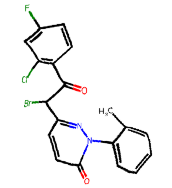 Cc1ccccc1-n1nc(C(Br)C(=O)c2ccc(F)cc2Cl)ccc1=O